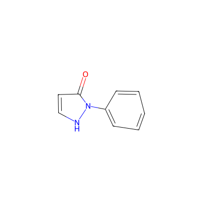 O=c1cc[nH]n1-c1ccccc1